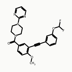 COc1ccc(C(=O)N2CCN(c3ncccn3)CC2)cc1C#Cc1cccc(OC(F)F)c1